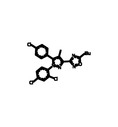 CCC(C)c1nc(-c2nn(-c3ccc(Cl)cc3Cl)c(-c3ccc(Cl)cc3)c2C)no1